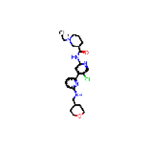 CCN1CCCC(C(=O)Nc2cc(-c3cccc(NCC4CCOCC4)n3)c(Cl)cn2)C1